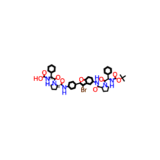 CC(C)(C)OC(=O)NC(C(=O)N1CCCC1C(=O)Nc1ccc2oc(-c3ccc(NC(=O)[C@@H]4CCCN4C(=O)[C@@H](NC(=O)O)c4ccccc4)cc3)c(Br)c2c1)c1ccccc1